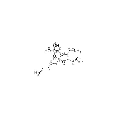 C=CCOCC(OCC=C)(OCC=C)OP(=O)(O)O